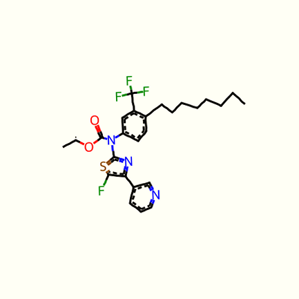 C[CH]OC(=O)N(c1ccc(CCCCCCCC)c(C(F)(F)F)c1)c1nc(-c2cccnc2)c(F)s1